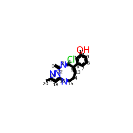 C=C1/N=C(Cl)\C(c2cccc(O)c2)=C/C/C=N\c2cc(C)nn21